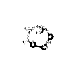 CN1CCCN(C)c2ccc(cn2)-c2ccnc(n2)Nc2cccc(c2)CN2CCN(CC1)CC2CO